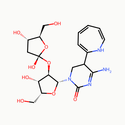 NC1=NC(=O)N([C@@H]2O[C@H](CO)[C@H](O)[C@H]2O[C@]2(O)C[C@H](O)[C@@H](CO)O2)CC1C1=CC=CC=CN1